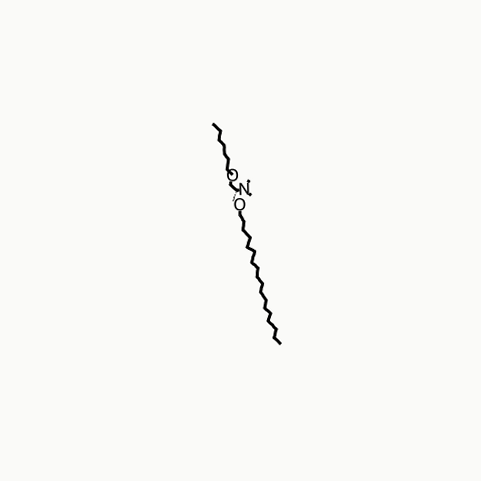 CCCCCCCCCCCCCCCCCCOC[C@H](COCCCCCCC)N(C)C